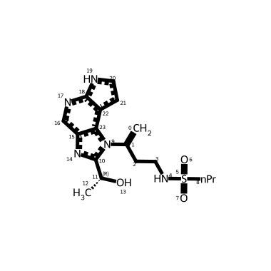 C=C(CCNS(=O)(=O)CCC)n1c([C@@H](C)O)nc2cnc3[nH]ccc3c21